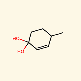 CC1C=CC(O)(O)CC1